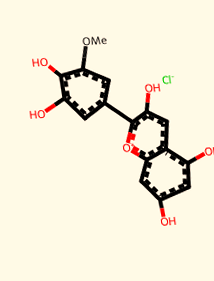 COc1cc(-c2[o+]c3cc(O)cc(O)c3cc2O)cc(O)c1O.[Cl-]